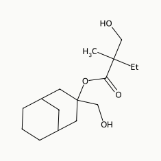 CCC(C)(CO)C(=O)OC1(CO)CC2CCCC(C2)C1